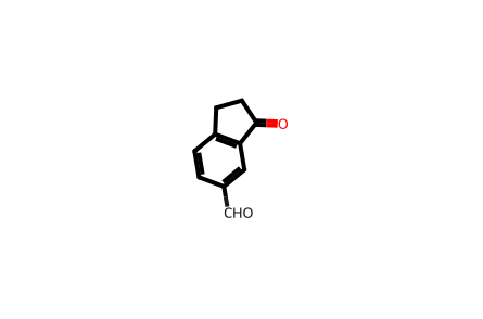 O=Cc1ccc2c(c1)C(=O)CC2